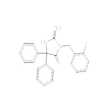 N=C1NC(c2ccccc2)(c2ccccc2)C(=O)N1Cc1ccccc1F